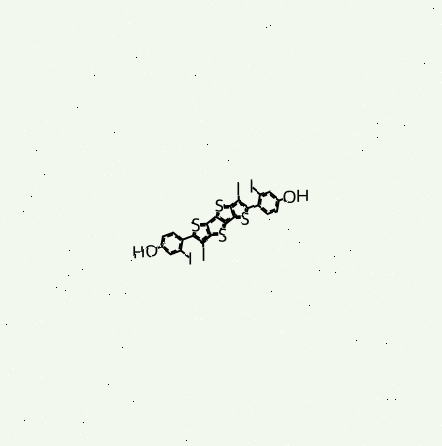 Oc1ccc(-c2sc3c(sc4c5sc(-c6ccc(O)cc6I)c(I)c5sc34)c2I)c(I)c1